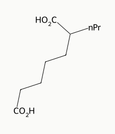 [CH2]CCC(CCCCC(=O)O)C(=O)O